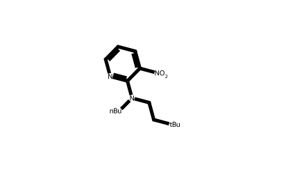 CCCCN(CCC(C)(C)C)c1ncccc1[N+](=O)[O-]